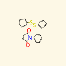 O=C1C=CC(=O)N1c1ccccc1.c1ccc(SSc2ccccc2)cc1